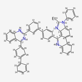 CCc1nc2c3c(-c4ccc(-c5cccc(-c6nc(-c7ccc(-c8ccccc8)cc7)c7ccccc7n6)c5)cc4)nc4ccccc4c3ccc2n1-c1ccccc1